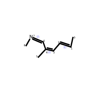 C/C=C/C=C(C)\C=N/C